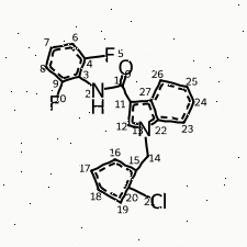 O=C(Nc1c(F)cccc1F)c1cn(Cc2ccccc2Cl)c2ccccc12